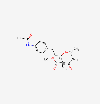 C=C1C(=O)[C@](C)(C(=O)OC)[C@H](CCc2ccc(NC(C)=O)cc2)O[C@@H]1C